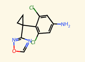 Nc1cc(Cl)c(C2(c3ncon3)CC2)c(Cl)c1